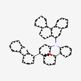 c1ccc(-c2ccccc2N(c2ccc(-c3cccc4c3sc3ccccc34)cc2)c2cc3ccccc3c3c2ccc2ccccc23)cc1